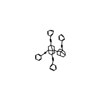 C(#CC12CC3CC(C1)CC(C14CC5(C#Cc6ccccc6)CC(C#Cc6ccccc6)(CC(C#Cc6ccccc6)(C5)C1)C4)(C3)C2)c1ccccc1